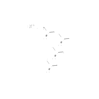 CS(C)=O.CS(C)=O.CS(C)=O.CS(C)=O.Cl.Cl.[Ru]